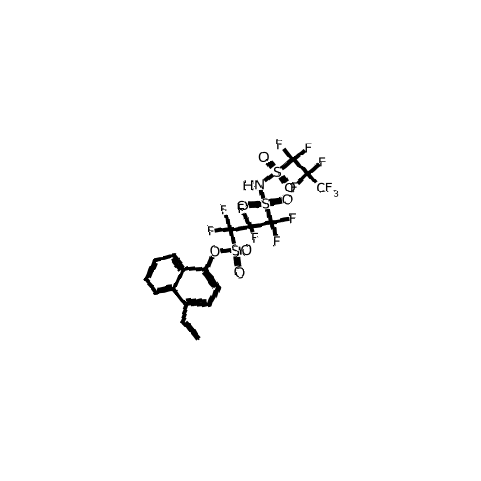 C=Cc1ccc(OS(=O)(=O)C(F)(F)C(F)(F)C(F)(F)S(=O)(=O)NS(=O)(=O)C(F)(F)C(F)(F)C(F)(F)F)c2ccccc12